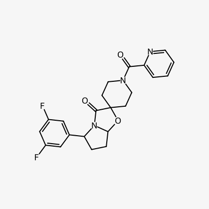 O=C(c1ccccn1)N1CCC2(CC1)OC1CCC(c3cc(F)cc(F)c3)N1C2=O